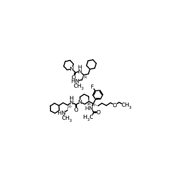 CCOCCCC[C@@](NC(C)=O)(c1cccc(F)c1)[C@@H]1CCCN(C(=O)N[C@H](CNC)CC2CCCCC2)C1.CNC[C@H](CC1CCCCC1)NC(=O)N1CCCCC1